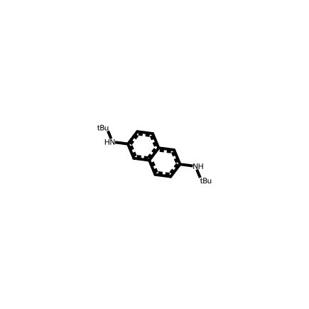 CC(C)(C)Nc1ccc2cc(NC(C)(C)C)ccc2c1